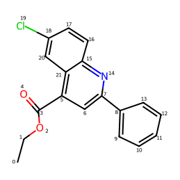 CCOC(=O)c1cc(-c2ccccc2)nc2ccc(Cl)cc12